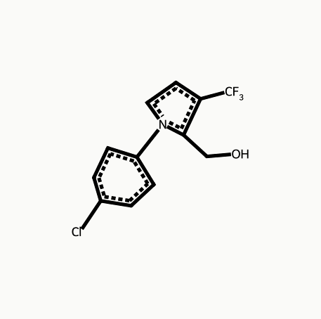 OCc1c(C(F)(F)F)ccn1-c1ccc(Cl)cc1